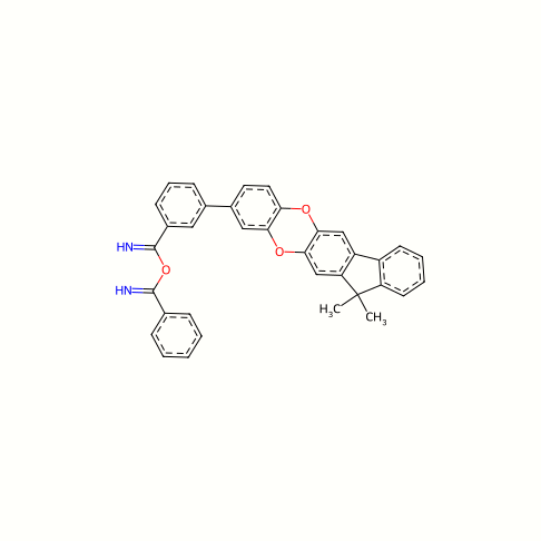 CC1(C)c2ccccc2-c2cc3c(cc21)Oc1cc(-c2cccc(C(=N)OC(=N)c4ccccc4)c2)ccc1O3